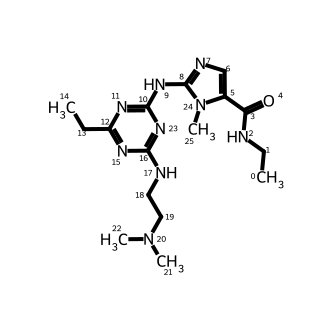 CCNC(=O)c1cnc(Nc2nc(CC)nc(NCCN(C)C)n2)n1C